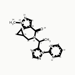 CC(c1ncnn1-c1ncccn1)N(CC1CC1)C(=O)c1cnn(C)c1